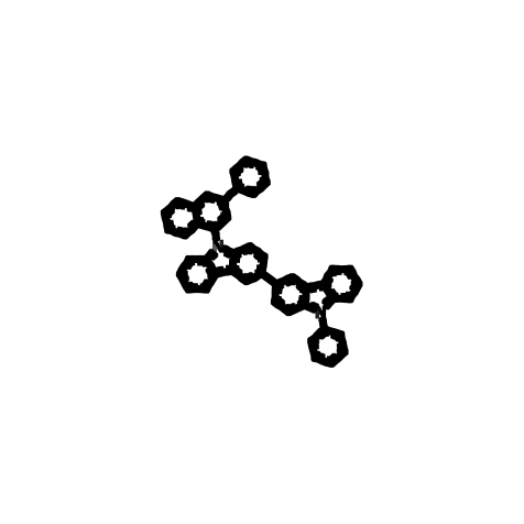 c1ccc(-c2cc(-n3c4ccccc4c4cc(-c5ccc6c(c5)c5ccccc5n6-c5ccccc5)ccc43)c3ccccc3c2)cc1